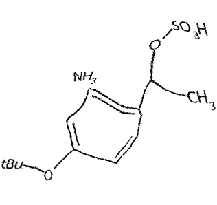 CC(OS(=O)(=O)O)c1ccc(OC(C)(C)C)cc1.N